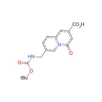 CC(C)(C)OC(=O)NCc1ccc2cc(C(=O)O)cc(=O)n2c1